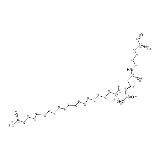 N[C@H](C=O)CCCCNC(O)CC[C@H](NC(O)CCCCCCCCCCCCCCCCCCC(=O)O)C(=O)O